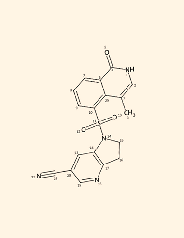 Cc1c[nH]c(=O)c2cccc(S(=O)(=O)N3CCc4ncc(C#N)cc43)c12